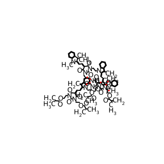 C=C(C)C(=O)OCCN1C(=O)C(=C/C=c2\c(=C)c3ccccc3n2CCN2C(=O)/C(=C\C=C3\N(C)c4ccccc4C3(C)C)C(=O)N(CCCN3C(=O)/C(=C\C=C4\N(C)c5ccccc5C4(C)C)C(=O)N(CCn4/c(=C/C=C5C(=O)N(CCOC(=O)C(=C)C)C(=O)N(CCOC(=O)C(=C)C)C5=O)c(=C)c5ccccc54)C3=O)C2=O)C(=O)N(CCOC(=O)C(=C)C)C1=O